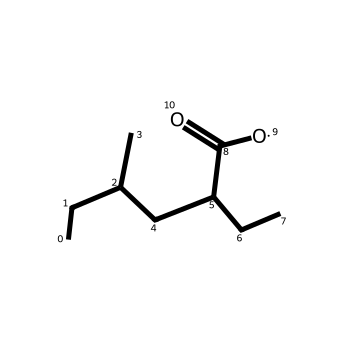 CCC(C)CC(CC)C([O])=O